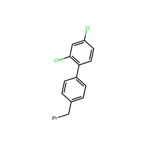 CC(C)Cc1ccc(-c2ccc(Cl)cc2Cl)cc1